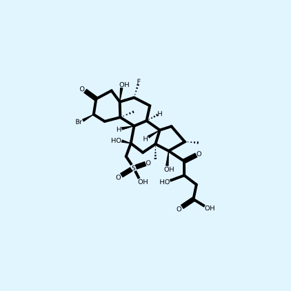 C[C@H]1C[C@H]2[C@@H]3C[C@@H](F)[C@@]4(O)CC(=O)[C@H](Br)C[C@]4(C)[C@H]3[C@@](O)(CS(=O)(=O)O)C[C@]2(C)[C@@]1(O)C(=O)C(O)CC(=O)O